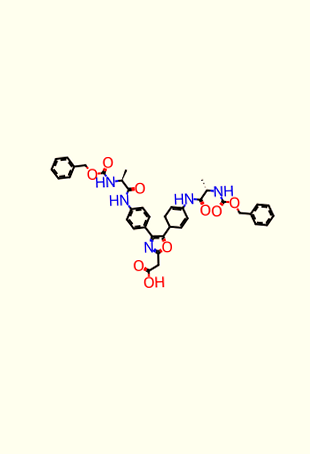 C[C@H](NC(=O)OCc1ccccc1)C(=O)NC1=CCC(c2oc(CC(=O)O)nc2-c2ccc(NC(=O)[C@H](C)NC(=O)OCc3ccccc3)cc2)C=C1